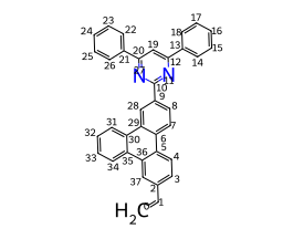 C=Cc1ccc2c3ccc(-c4nc(-c5ccccc5)cc(-c5ccccc5)n4)cc3c3ccccc3c2c1